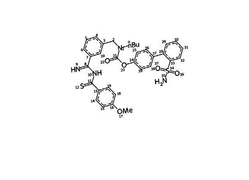 CCCCN(Cc1cccc(C(=N)NC(=S)c2ccc(OC)cc2)c1)C(=O)Oc1ccc(-c2ccccc2S(N)(=O)=O)cc1